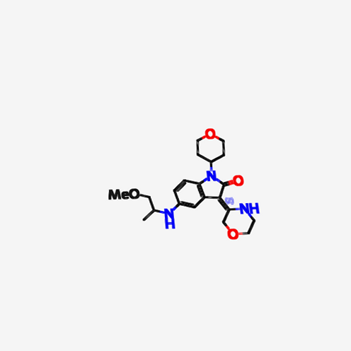 COCC(C)Nc1ccc2c(c1)/C(=C1\COCCN1)C(=O)N2C1CCOCC1